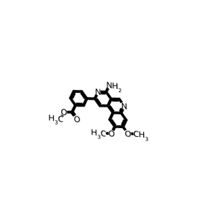 COC(=O)c1cccc(-c2cc3c(cnc4cc(OC)c(OC)cc43)c(N)n2)c1